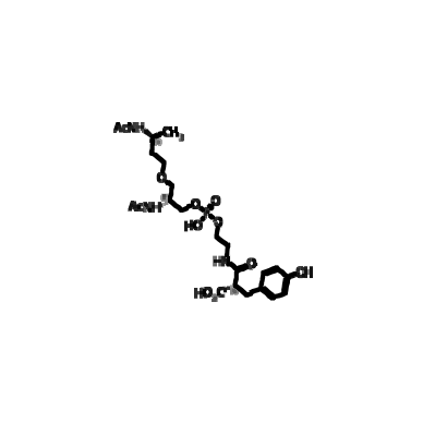 CC(=O)N[C@H](COCC[C@H](C)NC(C)=O)COP(=O)(O)OCCNC(=O)[C@H](Cc1ccc(O)cc1)C(=O)O